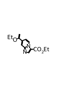 C=C(OCC)c1ccn2c(C(=O)OCC)cnc2c1